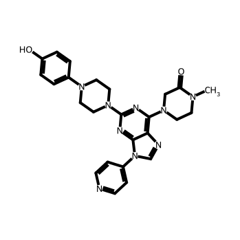 CN1CCN(c2nc(N3CCN(c4ccc(O)cc4)CC3)nc3c2ncn3-c2ccncc2)CC1=O